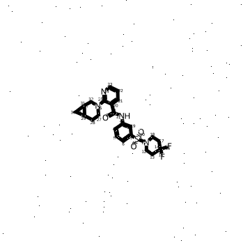 O=C(Nc1cccc(S(=O)(=O)N2CCC(F)(F)CC2)c1)c1cccnc1N1CCC2CC2C1